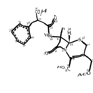 CC(=O)OCC1=C(C(=O)O)N2C(=O)C(C)(NC(=O)C(C(=O)O)c3ccccc3)[C@@H]2SC1